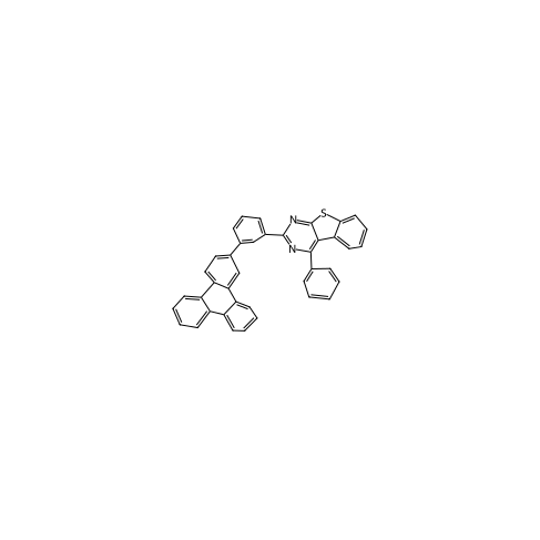 c1ccc(-c2nc(-c3cccc(-c4ccc5c6ccccc6c6ccccc6c5c4)c3)nc3sc4ccccc4c23)cc1